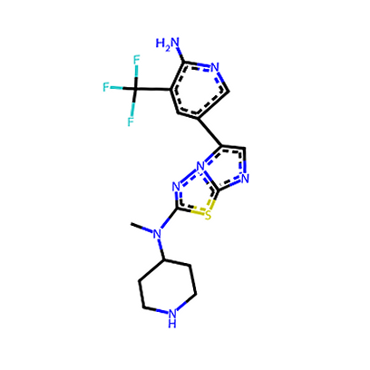 CN(c1nn2c(-c3cnc(N)c(C(F)(F)F)c3)cnc2s1)C1CCNCC1